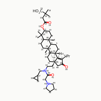 CC(C)C1=C2[C@H]3CCC4[C@@]5(C)CC[C@H](OC(=O)CC(C)(C)C(=O)O)C(C)(C)C5CC[C@@]4(C)[C@]3(C)CC[C@@]2(CCN(CC2CC2)C(=O)CN2CCCC2)CC1=O